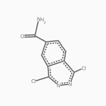 NC(=O)c1ccc2c(Cl)nnc(Cl)c2c1